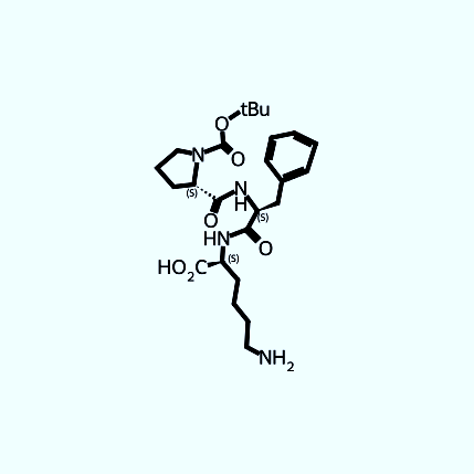 CC(C)(C)OC(=O)N1CCC[C@H]1C(=O)N[C@@H](Cc1ccccc1)C(=O)N[C@@H](CCCCN)C(=O)O